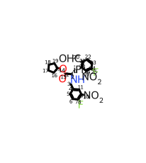 CC(C)[C@H](NCc1ccc(F)c([N+](=O)[O-])c1)C(=O)OC1CCCC1.O=Cc1ccc(F)c([N+](=O)[O-])c1